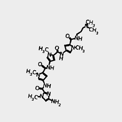 CN(C)CCCNC(=O)c1cc(NC(=O)c2cc(NC(=O)c3cc(NC(=O)c4nc(N)cn4C)cn3C)cn2C)cn1C